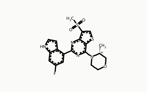 C[C@@H]1COCCN1c1nc(-c2cc(F)cc3[nH]ccc23)nc2c(S(C)(=O)=O)csc12